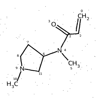 C=CC(=O)N(C)C1CCN(C)C1